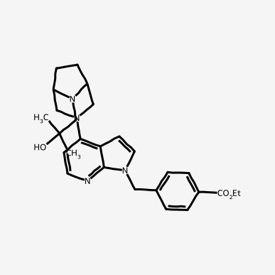 CCOC(=O)c1ccc(Cn2ccc3c(N4CC5CCC(C4)N5CC(C)(C)O)ccnc32)cc1